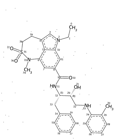 CCn1cc2c3c(cc(C(=O)N[C@@H](Cc4ccccc4)[C@H](O)CNc4ccccc4C)cc31)N(C)S(=O)(=O)CC2